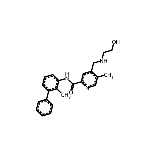 Cc1cnc(C(=O)Nc2cccc(-c3ccccc3)c2C)cc1CNCCO